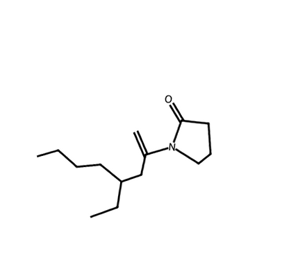 C=C(CC(CC)CCCC)N1CCCC1=O